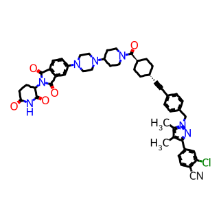 Cc1c(-c2ccc(C#N)c(Cl)c2)nn(Cc2ccc(C#C[C@H]3CC[C@H](C(=O)N4CCC(N5CCN(c6ccc7c(c6)C(=O)N(C6CCC(=O)NC6=O)C7=O)CC5)CC4)CC3)cc2)c1C